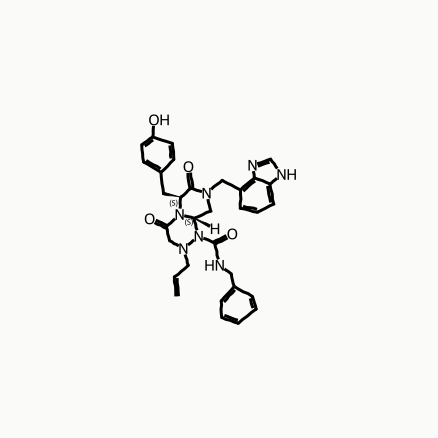 C=CCN1CC(=O)N2[C@@H](Cc3ccc(O)cc3)C(=O)N(Cc3cccc4[nH]cnc34)C[C@@H]2N1C(=O)NCc1ccccc1